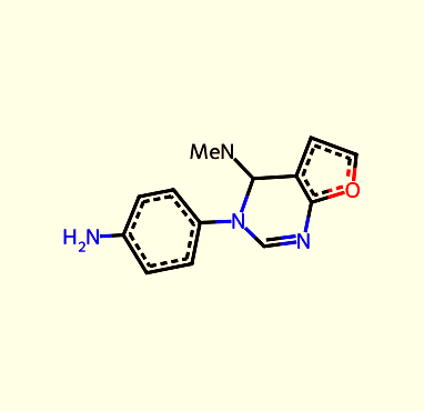 CNC1c2ccoc2N=CN1c1ccc(N)cc1